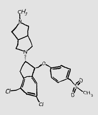 CN1CC2CN([C@H]3Cc4c(Cl)cc(Cl)cc4[C@@H]3Oc3ccc(S(C)(=O)=O)cc3)CC2C1